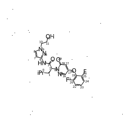 CC(C)C[C@@H](C(=O)Nc1ccn(CCO)n1)n1ncc(Oc2c(F)cccc2F)cc1=O